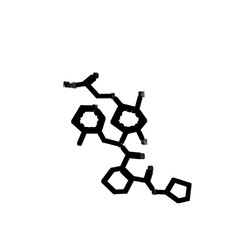 COC(=O)CSc1cc(N(Cc2cnccc2C)C(=O)C2=C(C(=O)OC3CCCC3)CCCC2)c(Cl)cc1Cl